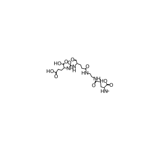 CNC(CCC(=O)NCCNC(=O)CCC(C=O)NC(=O)NC(CCC(=O)O)C(=O)O)C(=O)O